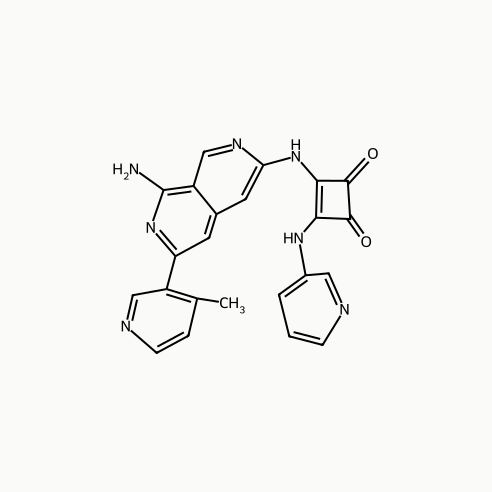 Cc1ccncc1-c1cc2cc(Nc3c(Nc4cccnc4)c(=O)c3=O)ncc2c(N)n1